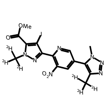 [2H]C([2H])([2H])c1nnn(C)c1-c1cnc(-c2nn(C([2H])([2H])[2H])c(C(=O)OC)c2I)c([N+](=O)[O-])c1